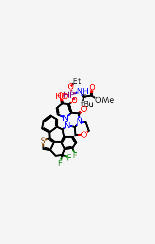 CCO[PH](O)(N[C@@H](C(=O)OC)C(C)(C)C)Oc1c2n(ccc1=O)N(C1c3ccccc3-c3scc4c3-c3c1ccc(F)c3C(F)(F)C4)C1COCCN1C2=O